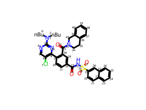 CCCCN(CCCC)c1ncc(Cl)c(-c2ccc(C(=O)NS(=O)(=O)c3ccc4ccccc4c3)cc2C(=O)N2CCc3ccccc3C2)n1